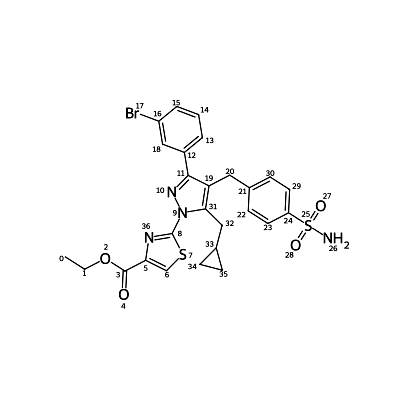 CCOC(=O)c1csc(-n2nc(-c3cccc(Br)c3)c(Cc3ccc(S(N)(=O)=O)cc3)c2CC2CC2)n1